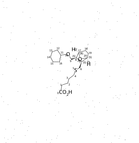 O=C(O)CCCCSC[C@H]1[C@@H](COC2CCCCC2)[C@H]2CC[C@@H]1O2